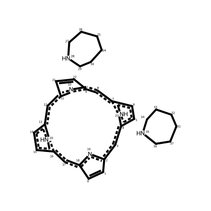 C1=Cc2cc3ccc(cc4nc(cc5ccc(cc1n2)[nH]5)C=C4)[nH]3.C1CCCNCC1.C1CCCNCC1